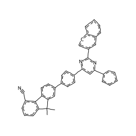 CC1(C)c2cc(-c3ccc(-c4cc(-c5ccccc5)nc(-c5ccc6ccccc6c5)n4)cc3)ccc2-c2c(C#N)cccc21